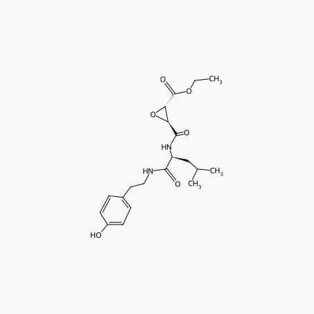 CCOC(=O)[C@H]1O[C@@H]1C(=O)N[C@@H](CC(C)C)C(=O)NCCc1ccc(O)cc1